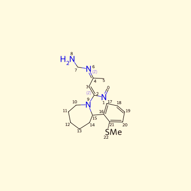 C=N/C(=C\C(C)=N/CN)N1CCCCCC1c1ccccc1SC